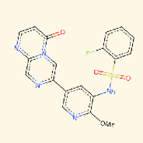 COc1ncc(-c2cn3c(=O)ccnc3cn2)cc1NS(=O)(=O)c1ccccc1F